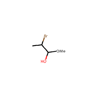 COC(O)C(C)Br